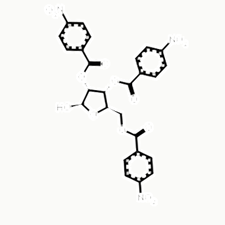 O=C(OC[C@H]1O[C@@H](O)[C@H](OC(=O)c2ccc([N+](=O)[O-])cc2)[C@@H]1OC(=O)c1ccc([N+](=O)[O-])cc1)c1ccc([N+](=O)[O-])cc1